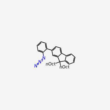 CCCCCCCCC1(CCCCCCCC)c2ccccc2-c2ccc(-c3ccccc3N=[N+]=[N-])cc21